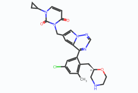 Cc1cc(Cl)cc(-c2ncnn3cc(Cn4c(=O)ccn(C5CC5)c4=O)cc23)c1C[C@@H]1CNCCO1